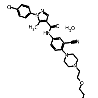 Cc1c(C(=O)Nc2ccc(N3CCN(CCOCCO)CC3)c(C#N)c2)cnn1-c1ccc(Cl)cc1.O